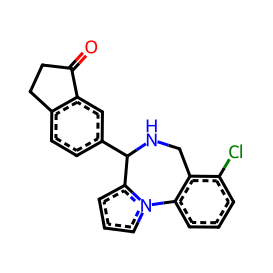 O=C1CCc2ccc(C3NCc4c(Cl)cccc4-n4cccc43)cc21